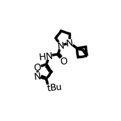 CC(C)(C)c1cc(NC(=O)N2CCCN2C23CC(C2)C3)on1